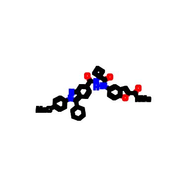 CNC(=O)c1cc2cc(NC(=O)C3(NC(=O)c4ccc5c(C6CCCCC6)n(-c6ccc(OC)cc6)nc5c4)CCC3)ccc2o1